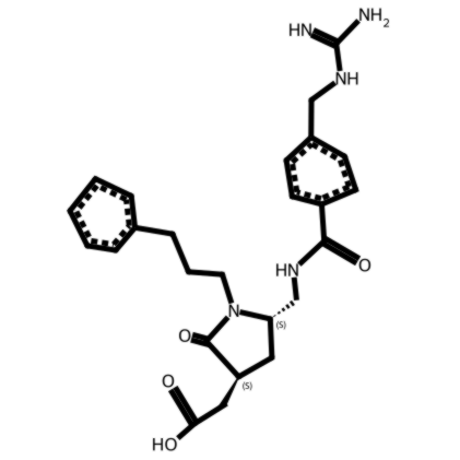 N=C(N)NCc1ccc(C(=O)NC[C@@H]2C[C@@H](CC(=O)O)C(=O)N2CCCc2ccccc2)cc1